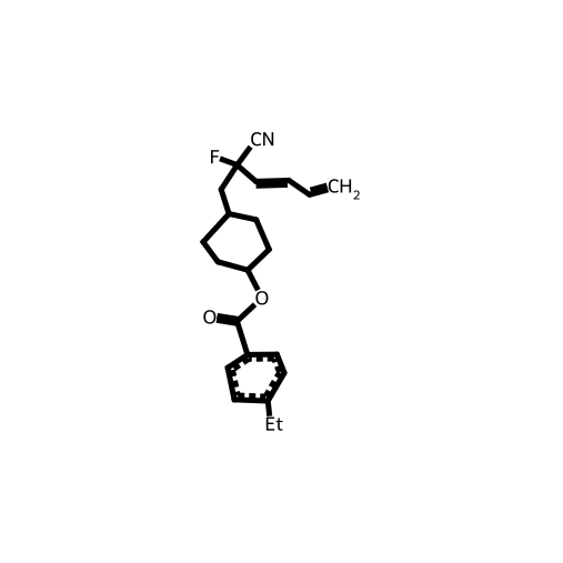 C=C/C=C/C(F)(C#N)CC1CCC(OC(=O)c2ccc(CC)cc2)CC1